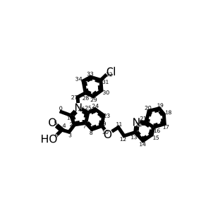 Cc1c(CC(=O)O)c2cc(OCCc3ccc4ccccc4n3)ccc2n1Cc1ccc(Cl)cc1